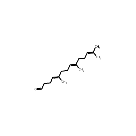 CC(C)=CCC/C(C)=C/CC/C(C)=C/CCC=O